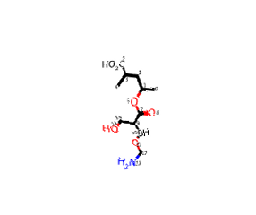 CC(C[C@@H](C)C(=O)O)OC(=O)[C@@H](BOCN)CO